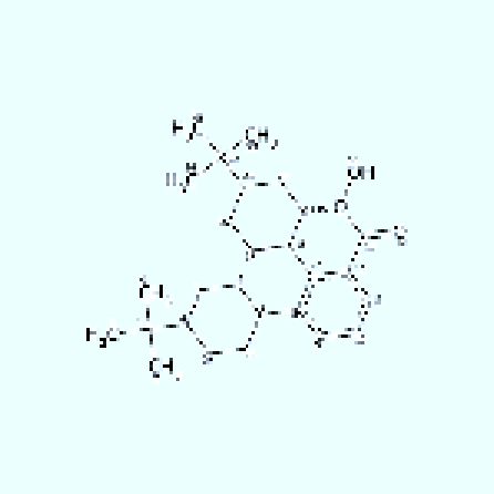 CC(C)(C)C1CCC(c2cccc(C(=O)OO)c2C2CCC(C(C)(C)C)CC2)CC1